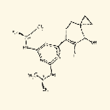 C[C@@H](Nc1nc(N[C@H](C)C(F)(F)F)nc(C2=C(F)C(O)C3(CC2)CC3)n1)C(F)(F)F